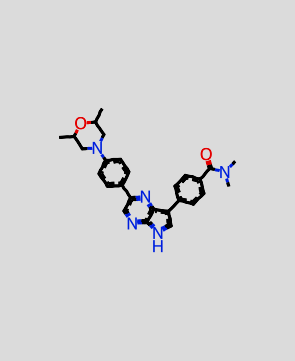 CC1CN(c2ccc(-c3cnc4[nH]cc(-c5ccc(C(=O)N(C)C)cc5)c4n3)cc2)CC(C)O1